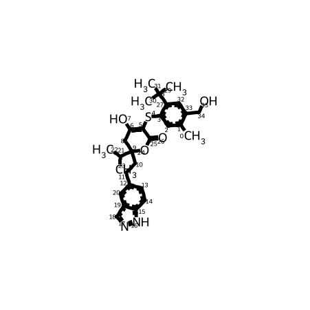 Cc1cc(SC2=C(O)CC(CCc3ccc4[nH]ncc4c3)(C(C)C)OC2=O)c(C(C)(C)C)cc1CO